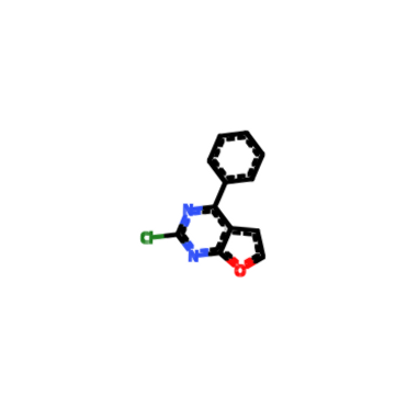 Clc1nc(-c2ccccc2)c2ccoc2n1